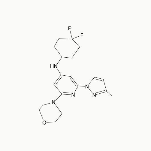 Cc1ccn(-c2cc(NC3CCC(F)(F)CC3)cc(N3CCOCC3)n2)n1